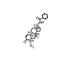 CN1C(=O)C=C[C@]2(C)[C@H]3CC[C@]4(C)[C@@H](CNC(=O)c5ccccc5)CC[C@H]4[C@@H]3CC[C@@H]12